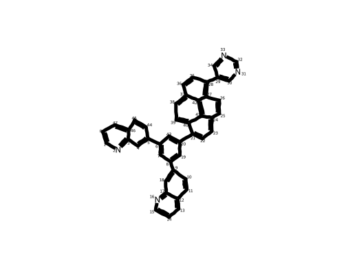 c1cnc2cc(-c3cc(-c4ccc5cccnc5c4)cc(-c4ccc5ccc6c(-c7cncnc7)ccc7ccc4c5c76)c3)ccc2c1